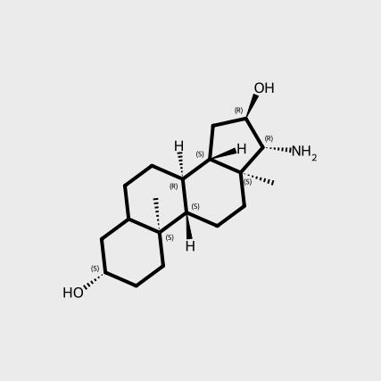 C[C@]12CC[C@H]3[C@@H](CCC4C[C@@H](O)CC[C@@]43C)[C@@H]1C[C@@H](O)[C@@H]2N